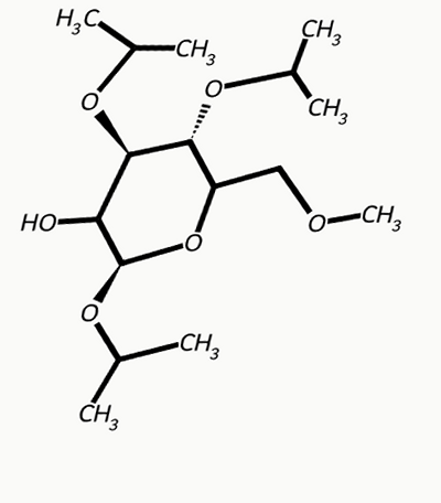 COCC1O[C@@H](OC(C)C)C(O)[C@@H](OC(C)C)[C@@H]1OC(C)C